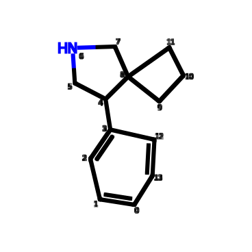 c1ccc(C2CNCC23CCC3)cc1